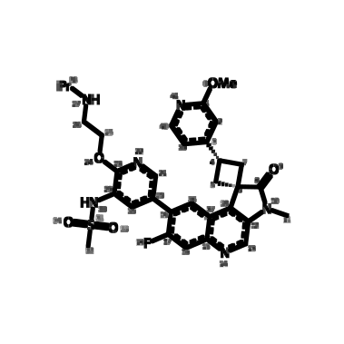 COc1cc([C@H]2C[C@]3(C2)C(=O)N(C)c2cnc4cc(F)c(-c5cnc(OCCNC(C)C)c(NS(C)(=O)=O)c5)cc4c23)ccn1